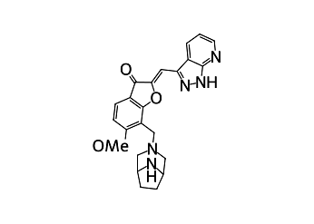 COc1ccc2c(c1CN1CC3CCC(C1)N3)OC(=Cc1n[nH]c3ncccc13)C2=O